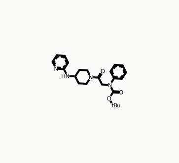 CC(C)(C)OC(=O)N(CC(=O)N1CCC(Nc2ccccn2)CC1)c1ccccc1